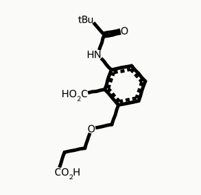 CC(C)(C)C(=O)Nc1cccc(COCCC(=O)O)c1C(=O)O